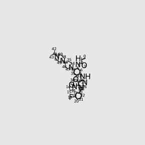 C=CC(=O)Nc1cc(Nc2cc(N3OCC[C@H]3c3c(F)cccc3F)ncn2)c(OC)cc1N1CCC(N2CCN(C(C)C)CC2)CC1